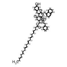 CCC=CCC=CCC=CCC=CCC=CCC=CCCC(=O)OC[C@@H]1CC(=O)N2[C@H](CN(Cc3cccc4ccccc34)C(=O)[C@@H]2Cc2ccc(O)cc2)N1C(=O)NCc1ccccc1